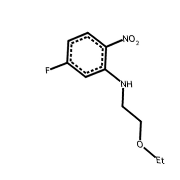 CCOCCNc1cc(F)ccc1[N+](=O)[O-]